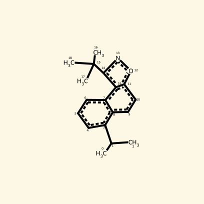 CC(C)c1cccc2c1ccc1onc(C(C)(C)C)c12